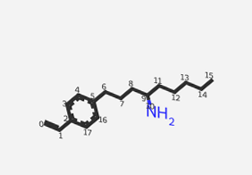 C=Cc1ccc(CCCC(N)CCCCC)cc1